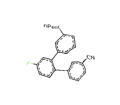 CCCCCc1cccc(-c2cc(F)ccc2-c2cccc(C#N)c2)c1